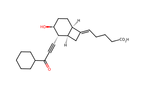 O=C(O)CCCC=C1C[C@H]2[C@H](C#CC(=O)C3CCCCC3)[C@@H](O)CC[C@@H]12